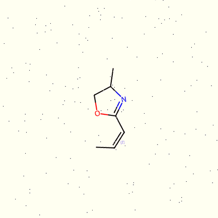 C/C=C\C1=NC(C)CO1